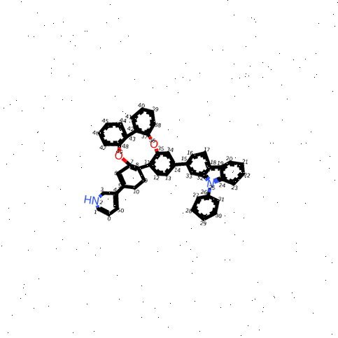 C1=CNCC(C2=CC3=C(CC2)c2ccc(-c4ccc5c6ccccc6n(-c6ccccc6)c5c4)cc2Oc2ccccc2-c2ccccc2O3)=C1